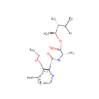 CCC(CC)[C@@H](OCC(C)C)[C@H](C)OC(=O)[C@H](C)NC(=O)c1nccc(OC)c1OCOC(C)=O